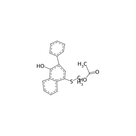 CC(=O)O.CSc1cc(-c2ccccc2)c(O)c2ccccc12